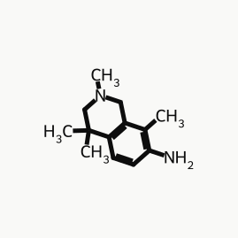 Cc1c(N)ccc2c1CN(C)CC2(C)C